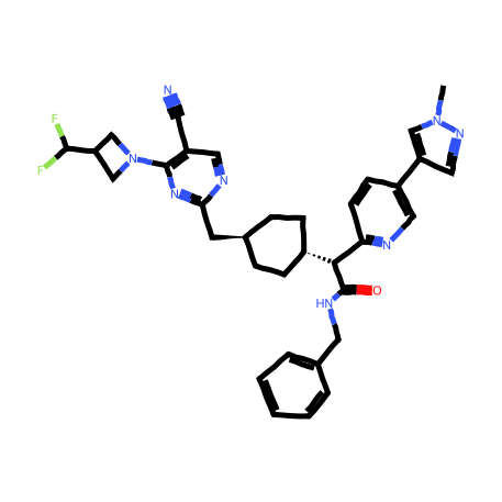 Cn1cc(-c2ccc(C(C(=O)NCc3ccccc3)[C@H]3CC[C@H](Cc4ncc(C#N)c(N5CC(C(F)F)C5)n4)CC3)nc2)cn1